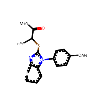 CCCC(Sc1nc2ccccc2n1-c1ccc(OC)cc1)C(=O)NC